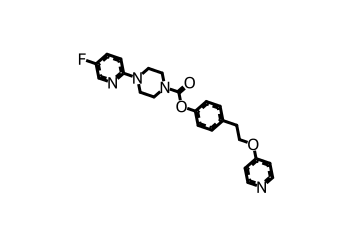 O=C(Oc1ccc(CCOc2ccncc2)cc1)N1CCN(c2ccc(F)cn2)CC1